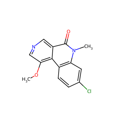 COc1cncc2c(=O)n(C)c3cc(Cl)ccc3c12